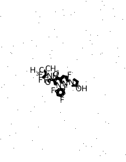 CC(C)C(NC(=O)c1cn(-c2c(F)cc(F)cc2F)c2nc(N3CC[C@H](O)C3)c(F)cc2c1=O)C(F)(F)F